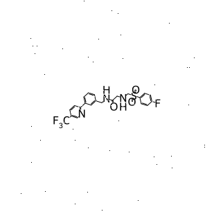 O=C(CNCS(=O)(=O)c1ccc(F)cc1)NCc1cccc(-c2ccc(C(F)(F)F)cn2)c1